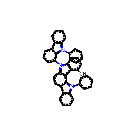 N#Cc1cccc2c1c1c(ccc3c4ccccc4n(-c4ccccc4)c31)n2-c1cccc2c3ccccc3n(-c3ccccc3)c12